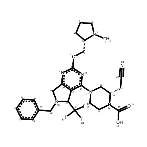 CN1CCC[C@H]1COc1nc2c(c(N3CCN(C(=O)O)[C@@H](CC#N)C3)n1)C(C(F)(F)F)N(Cc1ccccc1)C2